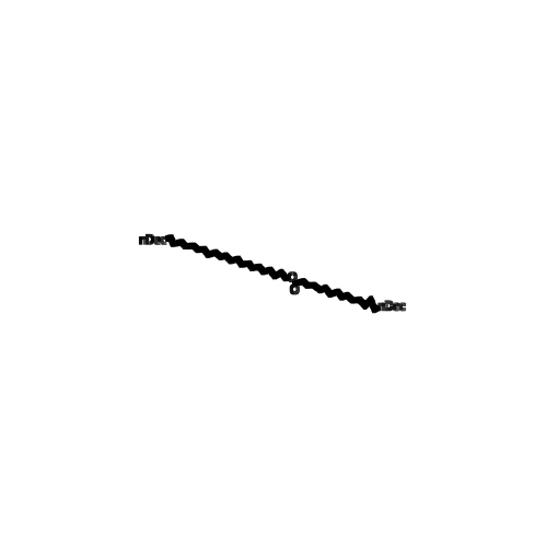 CCCCCCCCCCCCCCCCCCCCCCCCCCCCCCCCOC(=O)CCCCCCCCCCCCCCCCCCCCCCCC